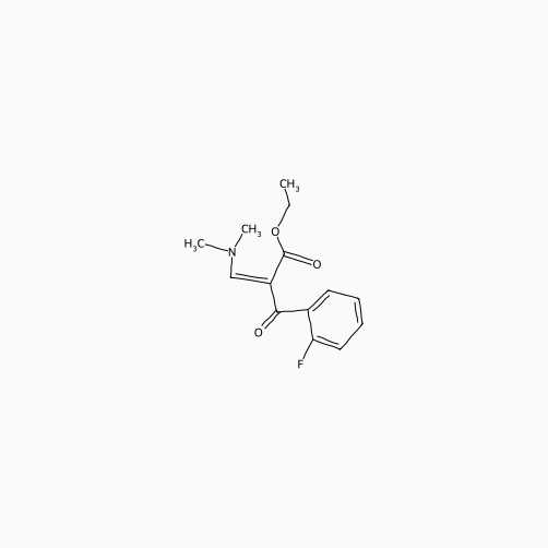 CCOC(=O)C(=CN(C)C)C(=O)c1ccccc1F